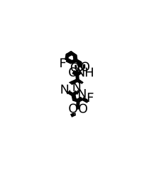 CCOC(=O)c1cc(C#N)c(N2CC(C(=O)NS(=O)(=O)Cc3cccc(F)c3)C2)nc1CF